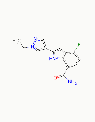 CCn1cc(-c2cc3c(Br)ccc(C(N)=O)c3[nH]2)cn1